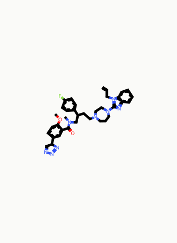 C=CCn1c(N2CCCN(CCC(CN(C)C(=O)c3cc(C4C=NN=N4)ccc3OC)c3ccc(F)cc3)CC2)nc2ccccc21